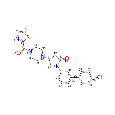 O=C(c1nccs1)N1CCN(C2CC(=O)N(c3cccc(-c4ccc(Cl)cc4)c3)C2)CC1